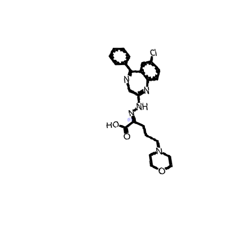 O=C(O)/C(CCCN1CCOCC1)=N/NC1=Nc2ccc(Cl)cc2C(c2ccccc2)=NC1